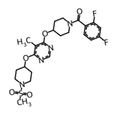 Cc1c(OC2CCN(C(=O)c3ccc(F)cc3F)CC2)ncnc1OC1CCN(S(C)(=O)=O)CC1